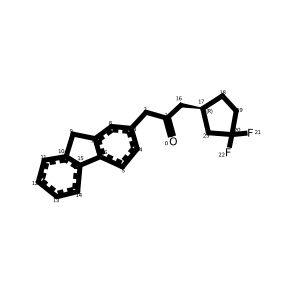 O=C(Cc1ccc2c(c1)Cc1ccccc1-2)C[C@H]1CCC(F)(F)C1